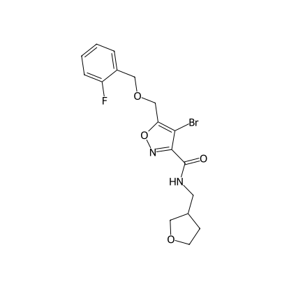 O=C(NCC1CCOC1)c1noc(COCc2ccccc2F)c1Br